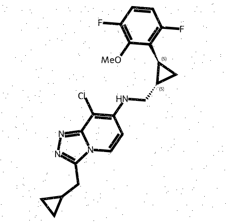 COc1c(F)ccc(F)c1[C@H]1C[C@@H]1CNc1ccn2c(CC3CC3)nnc2c1Cl